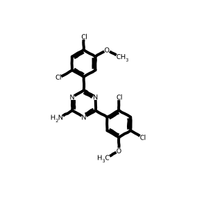 COc1cc(-c2nc(N)nc(-c3cc(OC)c(Cl)cc3Cl)n2)c(Cl)cc1Cl